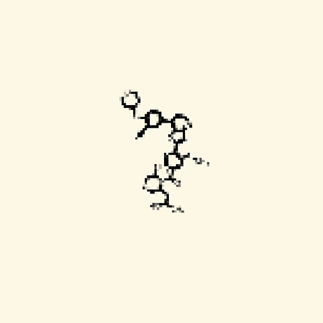 COc1cc(C(=O)N2C(C)COCC2CC(C)O)cnc1-c1cc2nccc(-c3ccc(OC4CCOCC4)c(C#N)c3)c2o1